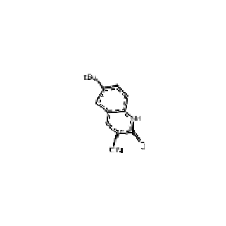 CC(C)(C)c1ccc2[nH]c(=O)c(C#N)cc2c1